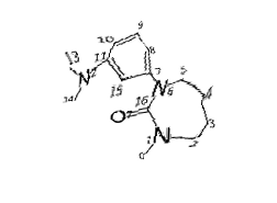 CN1CCCCN(c2cccc(N(C)C)c2)C1=O